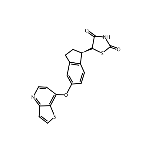 O=C1NC(=O)C([C@@H]2CCc3cc(Oc4ccnc5ccsc45)ccc32)S1